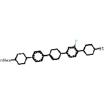 CCCCCCC1CCC(c2ccc(C3=CCC(c4ccc(C5CCC(CC)CC5)c(F)c4)CC3)cc2)CC1